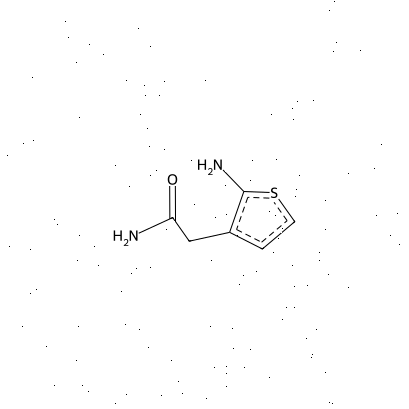 NC(=O)Cc1ccsc1N